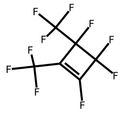 FC1=C(C(F)(F)F)C(F)(C(F)(F)F)C1(F)F